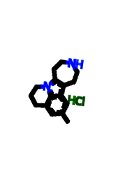 Cc1cc2c3c(c1)c1c(n3CCC2)CCNCC1.Cl